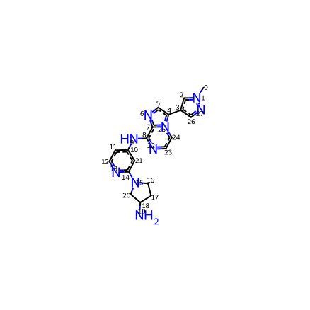 Cn1cc(-c2cnc3c(Nc4ccnc(N5CCC(N)C5)c4)nccn23)cn1